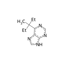 CCC(C)(CC)c1ncnc2[nH]cnc12